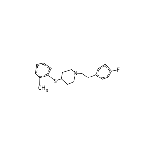 Cc1ccccc1SC1CCN(CCc2ccc(F)cc2)CC1